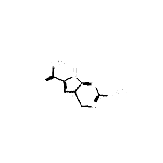 COC(=O)C1=CC2CN=C(SC)N=C2N1